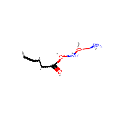 CCCC(=O)ONON